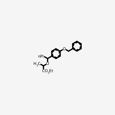 CCCC(OC(C)C(=O)OCC)c1ccc(OCc2ccccc2)cc1